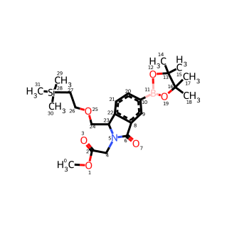 COC(=O)CN1C(=O)c2cc(B3OC(C)(C)C(C)(C)O3)ccc2C1COCC[Si](C)(C)C